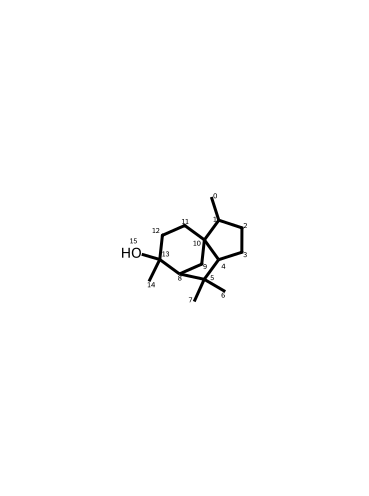 CC1CCC2C(C)(C)C3CC12CCC3(C)O